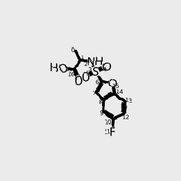 CC(NS(=O)(=O)c1cc2cc(F)ccc2o1)C(=O)O